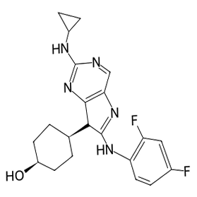 O[C@H]1CC[C@@H](C2C(Nc3ccc(F)cc3F)=Nc3cnc(NC4CC4)nc32)CC1